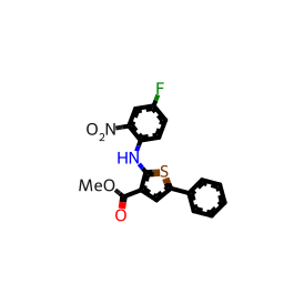 COC(=O)c1cc(-c2ccccc2)sc1Nc1ccc(F)cc1[N+](=O)[O-]